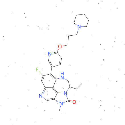 CCC1CNc2c(-c3ccc(OCCCN4CCCCC4)nc3)c(F)cc3ncc4c(c23)n1c(=O)n4C